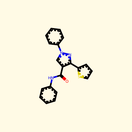 O=C(Nc1ccccc1)c1cn(-c2ccccc2)nc1-c1cccs1